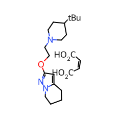 CC(C)(C)C1CCN(CCOc2cc3n(n2)CCCC3)CC1.O=C(O)/C=C\C(=O)O